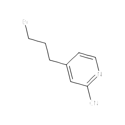 N#Cc1cc(CCCBr)ccn1